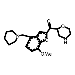 COc1ccc(CN2CCCCC2)c2cc(C(=O)C3CNCCO3)oc12